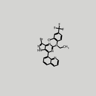 CCN(c1nc(-c2cccc3cccnc23)c2[nH]nc(Br)c2n1)c1ccc(C(F)(F)F)cc1Cl